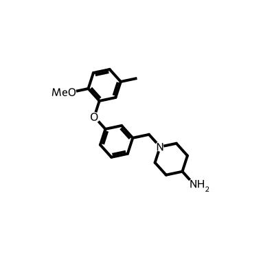 COc1ccc(C)cc1Oc1cccc(CN2CCC(N)CC2)c1